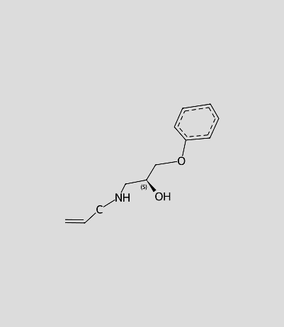 C=CCNC[C@H](O)COc1ccccc1